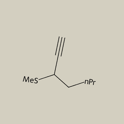 C#CC(CCC[CH2])SC